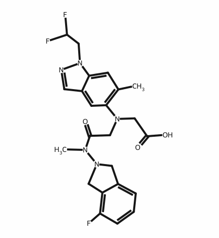 Cc1cc2c(cnn2CC(F)F)cc1N(CC(=O)O)CC(=O)N(C)N1Cc2cccc(F)c2C1